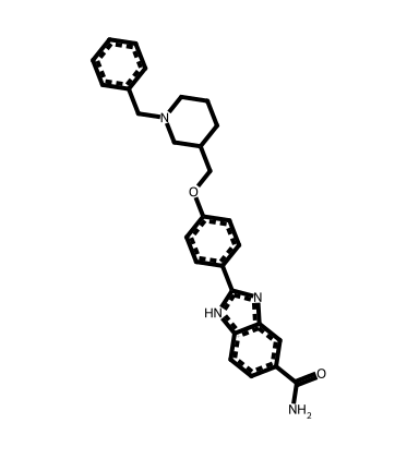 NC(=O)c1ccc2[nH]c(-c3ccc(OCC4CCCN(Cc5ccccc5)C4)cc3)nc2c1